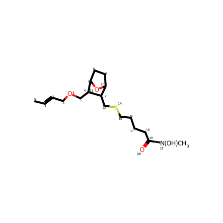 CC=CCOCC1C2CCC(O2)C1CSCCCCC(=O)N(C)O